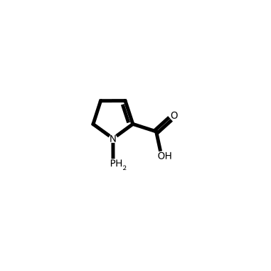 O=C(O)C1=CCCN1P